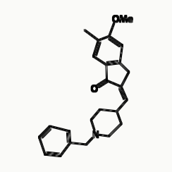 COc1cc2c(cc1C)C(=O)/C(=C\C1CCN(Cc3ccccc3)CC1)C2